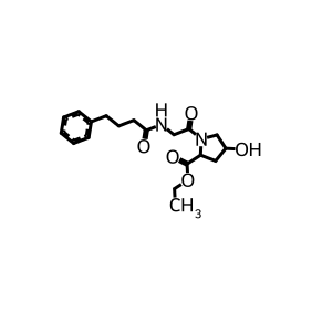 CCOC(=O)C1CC(O)CN1C(=O)CNC(=O)CCCc1ccccc1